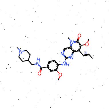 C/C=C/c1c(OC)c(=O)n(C)c2cnc(Nc3ccc(C(=O)NCC4CCN(C)CC4)cc3OC)nc12